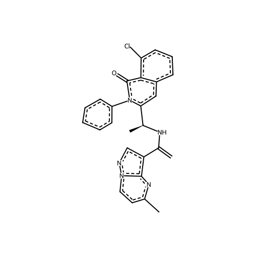 C=C(N[C@@H](C)c1cc2cccc(Cl)c2c(=O)n1-c1ccccc1)c1cnn2ccc(C)nc12